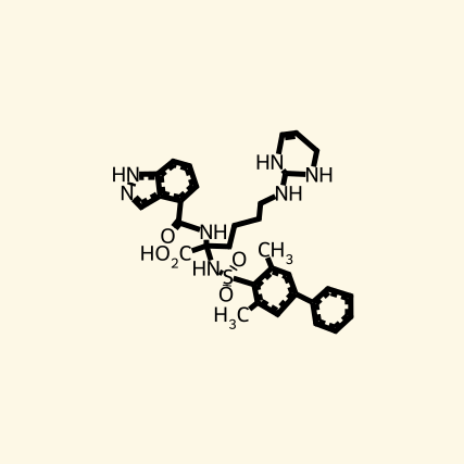 Cc1cc(-c2ccccc2)cc(C)c1S(=O)(=O)NC(CCCCNC1NC=CCN1)(NC(=O)c1cccc2[nH]ncc12)C(=O)O